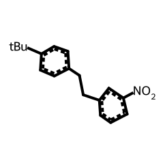 CC(C)(C)c1ccc(CCc2cccc([N+](=O)[O-])c2)cc1